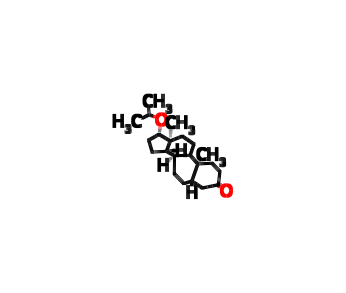 CC(C)O[C@H]1CC[C@H]2[C@@H]3CC[C@H]4CC(=O)CC[C@]4(C)C3CC[C@]12C